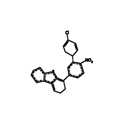 O=[N+]([O-])c1ccc(C2=c3sc4ccccc4c3=CCC2)cc1C1C=CC(Cl)=CC1